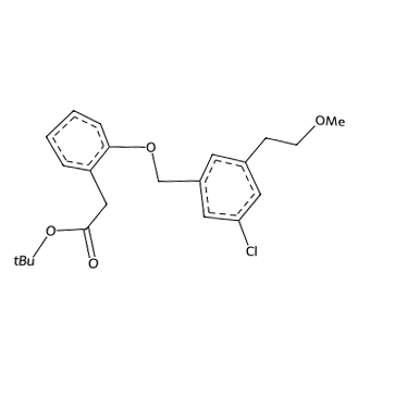 COCCc1cc(Cl)cc(COc2ccccc2CC(=O)OC(C)(C)C)c1